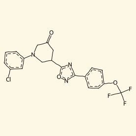 O=C1CC(c2nc(-c3ccc(OC(F)(F)F)cc3)no2)CN(c2cccc(Cl)c2)C1